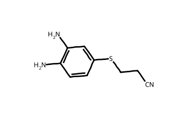 N#CCCSc1ccc(N)c(N)c1